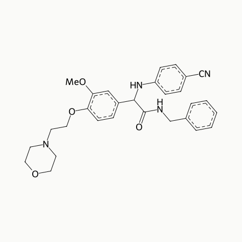 COc1cc(C(Nc2ccc(C#N)cc2)C(=O)NCc2ccccc2)ccc1OCCN1CCOCC1